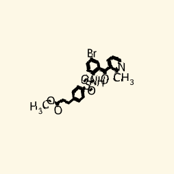 COC(=O)CCc1ccc(S(=O)(=O)Nc2ccc(Br)cc2C(=O)c2cccnc2C)cc1